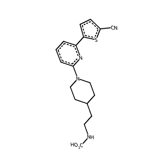 N#Cc1ccc(-c2cccc(N3CCC(CCNC(=O)O)CC3)n2)s1